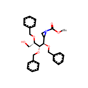 CC(C)(C)OC(=O)N1CC1[C@@H](OCc1ccccc1)[C@H](OCc1ccccc1)[C@H](CO)OCc1ccccc1